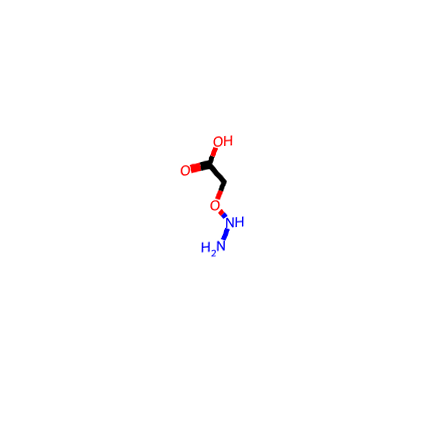 NNOCC(=O)O